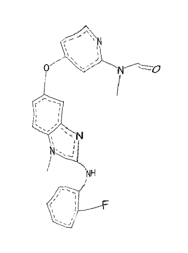 CN(C=O)c1cc(Oc2ccc3c(c2)nc(Nc2ccccc2F)n3C)ccn1